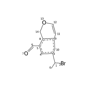 CC(Br)c1cc(C=O)c2c(c1)C=COC2